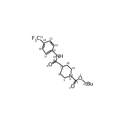 CC(C)(C)OC(=O)N1CCC(C(=O)Nc2ccc(C(F)(F)F)cc2)CC1